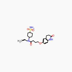 C=CCN(C(=O)CCCOc1ccc2c(c1)CCC(=O)N2)C1CCC(S(N)(=O)=O)CC1